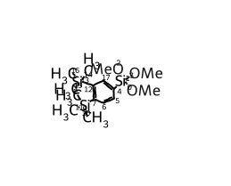 CO[Si](OC)(OC)c1ccc([Si](C)(C)C)c([Si](C)(C)C)c1